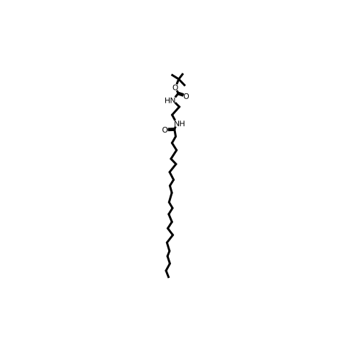 CCCCCCCCCCCCCCCCCCCCCC(=O)NCCNC(=O)OC(C)(C)C